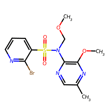 COCN(c1ncc(C)nc1OC)S(=O)(=O)c1cccnc1Br